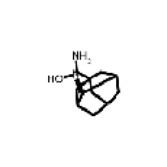 NCC12CC3CC(C1)C(=NO)C(C3)C2